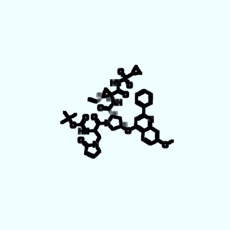 C=C[C@@H]1C[C@]1(NC(=O)[C@@H]1C[C@@H](Oc2cc(-c3ccccc3)nc3cc(OC)ccc23)CN1C(=O)C(CN1CC=CC1=O)NC(=O)OC(C)(C)C)C(=O)NS(=O)(=O)C1CC1